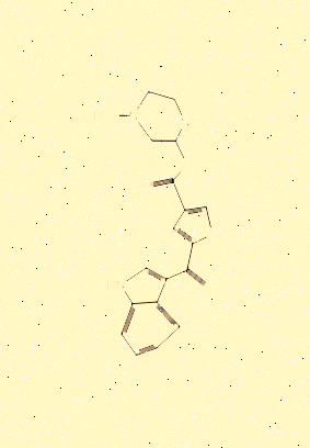 CN1CCNC(OC(=O)c2csc(C(=O)c3c[nH]c4ccccc34)c2)C1